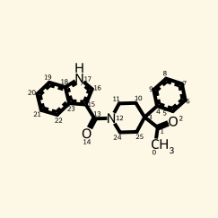 CC(=O)C1(c2ccccc2)CCN(C(=O)c2c[nH]c3ccccc23)CC1